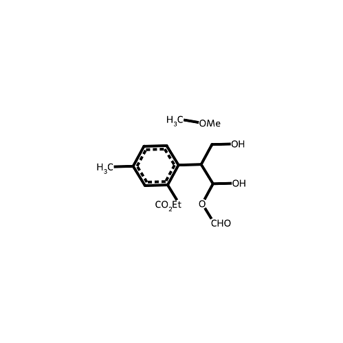 CCOC(=O)c1cc(C)ccc1C(CO)C(O)OC=O.COC